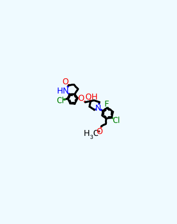 COCCc1cc(N2CCC(O)(COc3ccc(Cl)c4c3CCC(=O)N4)CC2)c(F)cc1Cl